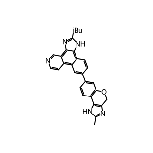 CCC(C)c1nc2c3cnccc3c3cc(-c4ccc5c(c4)OCc4nc(C)[nH]c4-5)ccc3c2[nH]1